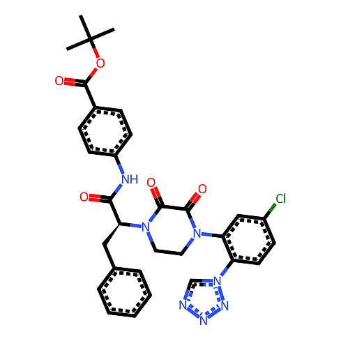 CC(C)(C)OC(=O)c1ccc(NC(=O)[C@H](Cc2ccccc2)N2CCN(c3cc(Cl)ccc3-n3cnnn3)C(=O)C2=O)cc1